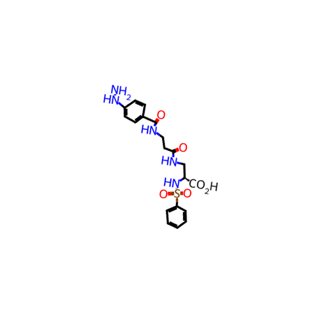 NNc1ccc(C(=O)NCCC(=O)NC[C@H](NS(=O)(=O)c2ccccc2)C(=O)O)cc1